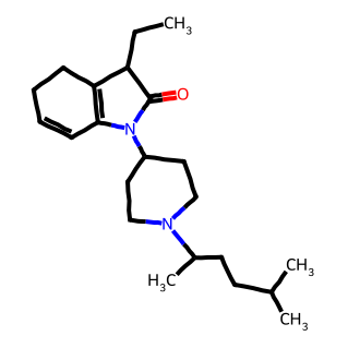 CCC1C(=O)N(C2CCN(C(C)CCC(C)C)CC2)C2=C1CCC=C2